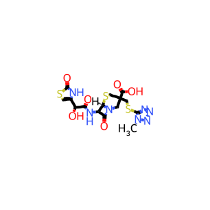 Cn1nnnc1SCC1(C(=O)O)CS[C@@H]2C(NC(=O)C(O)c3csc(=O)[nH]3)C(=O)N2C1